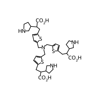 O=C(O)C(Cc1ccc(CN(Cc2ccc(CC(C(=O)O)C3CCNC3)s2)Cc2ccc(CC(C(=O)O)C3CCNC3)s2)s1)C1CCNC1